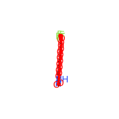 O=C(CCOCCOCCOCCOCCOCCOCCOCCOCCOCCOCCOCCOCCNCCCN1C(=O)C=CC1=O)Oc1c(F)c(F)c(F)c(F)c1F